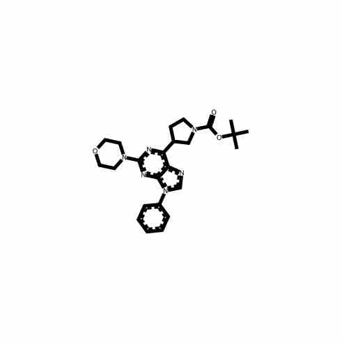 CC(C)(C)OC(=O)N1CCC(c2nc(N3CCOCC3)nc3c2ncn3-c2ccccc2)C1